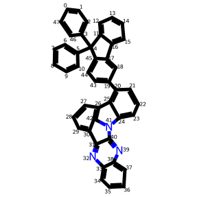 c1ccc(C2(c3ccccc3)c3ccccc3-c3cc(-c4cccc5c4c4cccc6c7nc8ccccc8nc7n5c64)ccc32)cc1